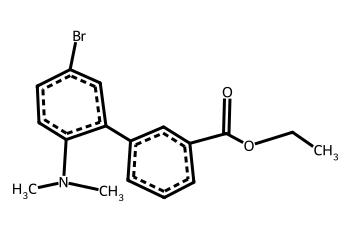 CCOC(=O)c1cccc(-c2cc(Br)ccc2N(C)C)c1